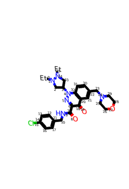 CCN1CC(n2nc(C(=O)NCc3ccc(Cl)cc3)c(=O)c3cc(CN4CCOCC4)ccc32)CN1CC